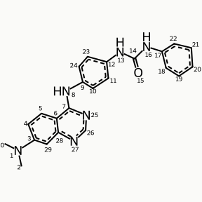 CN(C)c1ccc2c(Nc3ccc(NC(=O)Nc4ccccc4)cc3)ncnc2c1